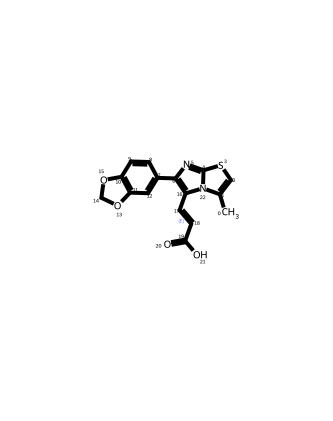 Cc1csc2nc(-c3ccc4c(c3)OCO4)c(/C=C/C(=O)O)n12